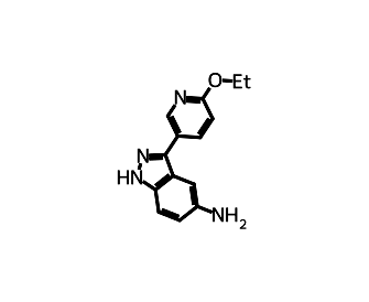 CCOc1ccc(-c2n[nH]c3ccc(N)cc23)cn1